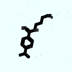 CC(C)c1ccc(C(=N)NCCCN)cc1